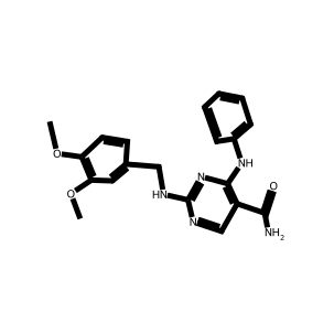 COc1ccc(CNc2ncc(C(N)=O)c(Nc3ccccc3)n2)cc1OC